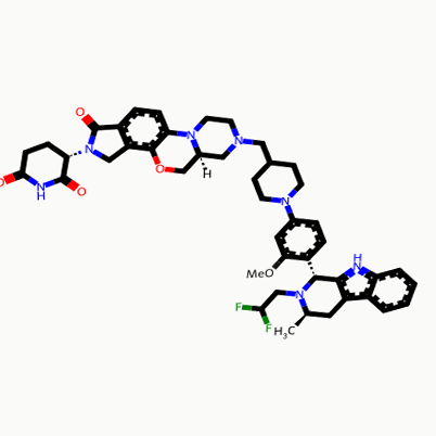 COc1cc(N2CCC(CN3CCN4c5ccc6c(c5OC[C@@H]4C3)CN([C@H]3CCC(=O)NC3=O)C6=O)CC2)ccc1[C@@H]1c2[nH]c3ccccc3c2C[C@@H](C)N1CC(F)F